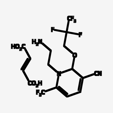 N#CC1=CC=C(C(F)(F)F)N(CCN)C1OCC(F)(F)C(F)(F)F.O=C(O)C=CC(=O)O